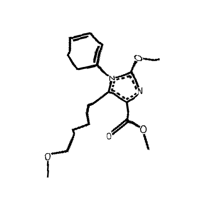 COCCCCc1c(C(=O)OC)nc(OC)n1C1=CC=CCC1